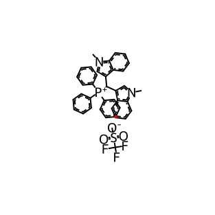 Cn1cc(C(c2cn(C)c3ccccc23)[P+](c2ccccc2)(c2ccccc2)c2ccccc2)c2ccccc21.O=S(=O)([O-])C(F)(F)F